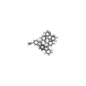 N#Cc1ccc2c(c1)c1ccccc1n2-c1cccc2c1Sc1c(-n3c4ccccc4c4ccccc43)cccc1C21c2cccnc2-c2ncccc21